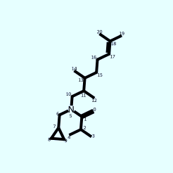 C=C(C(C)C)N(CC1CC1)CC(C)C(C)CCC=C(C)C